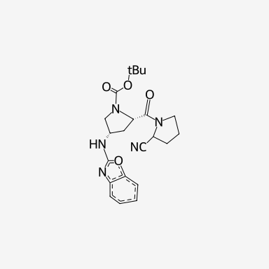 CC(C)(C)OC(=O)N1C[C@@H](Nc2nc3ccccc3o2)C[C@H]1C(=O)N1CCCC1C#N